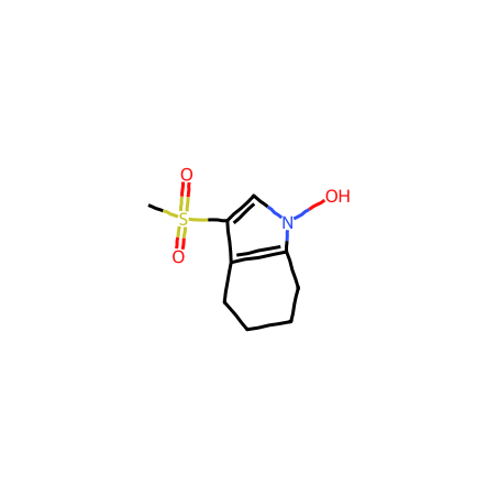 CS(=O)(=O)c1cn(O)c2c1CCCC2